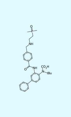 CC(C)(C)N(C(=O)O)c1ccc(-c2ccccc2)cc1NC(=O)c1ccc(CNCCP(C)(C)=O)cc1